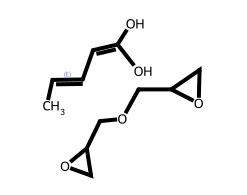 C(OCC1CO1)C1CO1.C/C=C/C=C(O)O